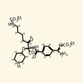 CCOC(=O)N=C(N)c1ccc(C(=O)NC(OC2CCNCC2)(C(=O)O)C(=O)CCCCNC(=O)OCC)cc1